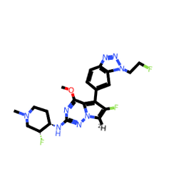 [2H]c1c(F)c(-c2ccc3nnn(CCF)c3c2)c2c(OC)nc(N[C@H]3CCN(C)C[C@H]3F)nn12